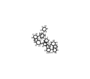 c1ccc(-c2nc(-c3ccccc3)nc(-c3cccc4sc5ccc(-c6ccc7c(c6)c6ccccc6n7-c6cccc7sc8ccccc8c67)cc5c34)n2)cc1